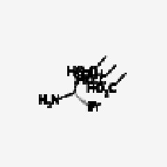 CC(=O)O.CC(=O)O.CC(=O)O.CC(C)[C@H](N)C(=O)O